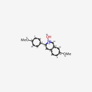 COc1ccc(-c2cc3ccc(OC)cc3c[n+]2O)cc1